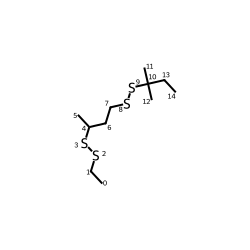 CCSSC(C)CCSSC(C)(C)CC